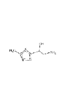 Cc1ncc(C(O)CN)s1